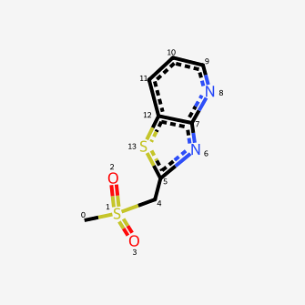 CS(=O)(=O)Cc1nc2ncccc2s1